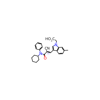 Cc1ccc2c(/C=C(\C#N)C(=O)N(c3ccccc3)C3CCCCC3)cn(CC(=O)O)c2c1